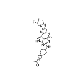 CNc1nc(NC2CCC3(CC2)CN(C(C)=O)C3)nc2[nH]cc(-c3ccc4nc(C)n(CC(F)F)c4n3)c12